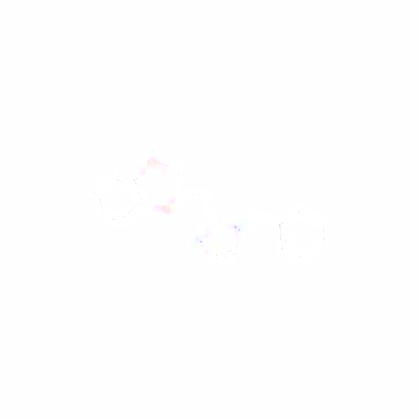 c1ccc(Cn2ccnc2CC2COc3ccccc3O2)cc1